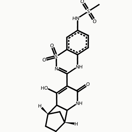 CS(=O)(=O)Nc1ccc2c(c1)S(=O)(=O)N=C(C1=C(O)C3C(NC1=O)[C@@H]1CC[C@H]3C1)N2